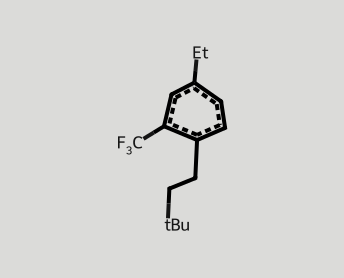 CCc1ccc(CCC(C)(C)C)c(C(F)(F)F)c1